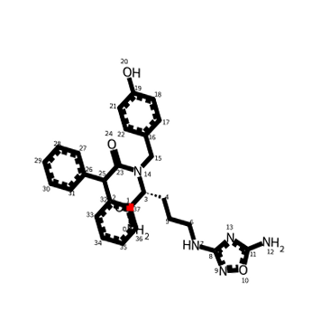 NC(=O)[C@@H](CCCNc1noc(N)n1)N(Cc1ccc(O)cc1)C(=O)C(c1ccccc1)c1ccccc1